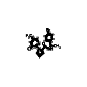 CC(NC(=O)c1cccn1-c1ncc(C(F)(F)F)cc1Cl)c1ccc(Br)cc1